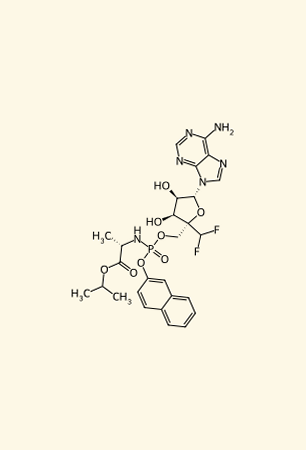 CC(C)OC(=O)[C@H](C)NP(=O)(OC[C@@]1(C(F)F)O[C@@H](n2cnc3c(N)ncnc32)[C@H](O)[C@@H]1O)Oc1ccc2ccccc2c1